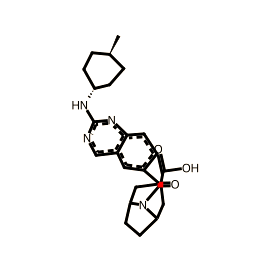 C[C@H]1CC[C@H](Nc2ncc3cc(C(=O)N4C5CCC4CC(C(=O)O)C5)ccc3n2)CC1